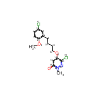 COc1ccc(Cl)cc1CCCCOc1cc(=O)n(C)nc1Cl